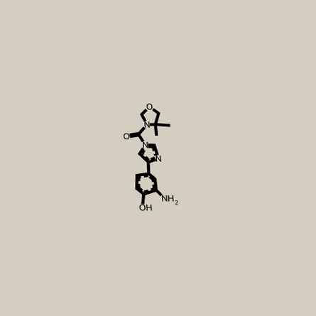 CC1(C)COCN1C(=O)n1cnc(-c2ccc(O)c(N)c2)c1